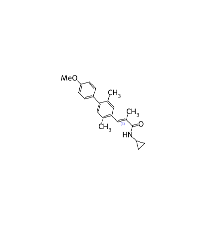 COc1ccc(-c2cc(C)c(/C=C(\C)C(=O)NC3CC3)cc2C)cc1